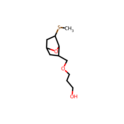 CSC1CC2CC(COCCCO)C1O2